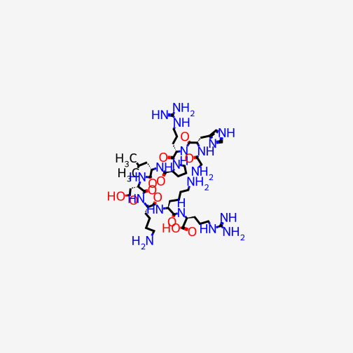 CC(C)C[C@H](NC(=O)[C@@H]1CCCN1C(=O)[C@H](CCCNC(=N)N)NC(=O)[C@H](Cc1c[nH]cn1)NC(=O)CN)C(=O)N[C@@H](CC(=O)O)C(=O)N[C@@H](CCCCN)C(=O)N[C@@H](CCCCN)C(=O)N[C@@H](CCCNC(=N)N)C(=O)O